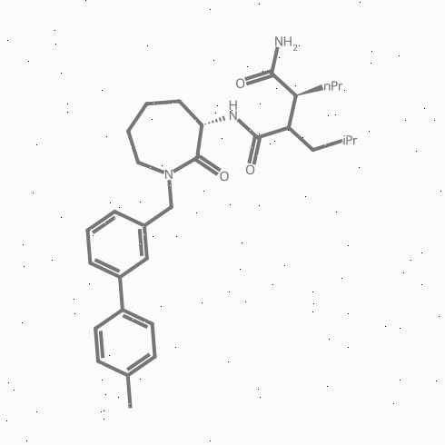 CCC[C@H](C(N)=O)C(CC(C)C)C(=O)N[C@H]1CCCCN(Cc2cccc(-c3ccc(C)cc3)c2)C1=O